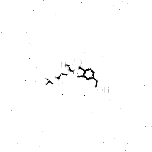 CC(C)(C)OC(=O)CC[C@@H](C(N)=O)N1Cc2cc(CCO)ccc2C1=O